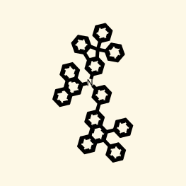 c1ccc(-c2c(-c3ccccc3)c3cc(-c4cccc(N(c5ccc6c(c5)-c5ccccc5C6(c5ccccc5)c5ccccc5)c5cc6ccccc6c6ccccc56)c4)ccc3c3ccccc23)cc1